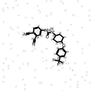 N#Cc1ccc(NC(=O)NC2CCC(Oc3ccc(C(F)(F)F)cc3)CC2)cc1C#N